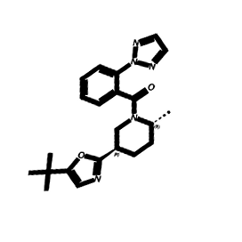 C[C@@H]1CC[C@@H](c2ncc(C(C)(C)C)o2)CN1C(=O)c1ccccc1-n1nccn1